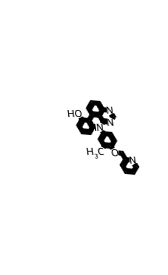 Cc1cc(Nc2ncnc3cccc(-c4ccccc4O)c23)ccc1OCc1ccccn1